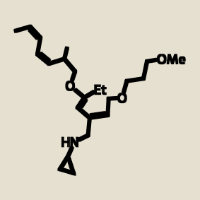 C/C=C\C=C/C(C)CO/C(=C/C(=C\COCCCOC)CNC1CC1)CC